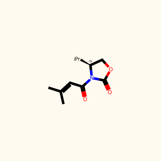 CC(C)=CC(=O)N1C(=O)OC[C@@H]1C(C)C